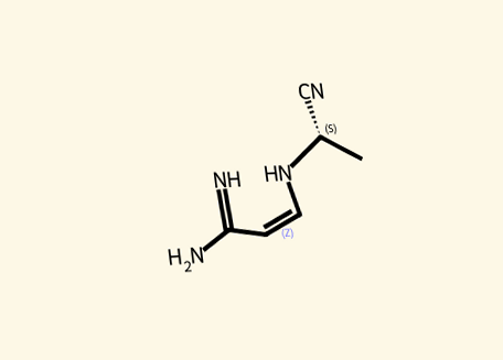 C[C@@H](C#N)N/C=C\C(=N)N